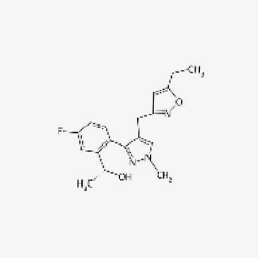 CCc1cc(Cc2cn(C)nc2-c2ccc(F)cc2[C@@H](C)O)no1